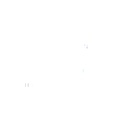 Cc1ccc2ccnc(F)c2c1